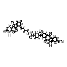 CCc1cc2c(cc1N1CCN(C(=O)CCCCCSc3cccc4c3C(=O)N(C3CCC(=O)NC3=O)C4=O)CC1)C(C)(C)c1[nH]c3cc(C#N)ccc3c1C2=O